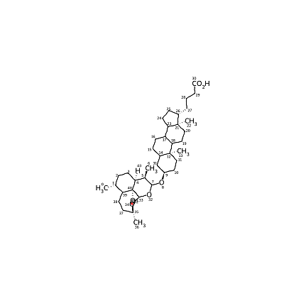 C[C@@H]1CC[C@H]2[C@@H](C)C(O[C@@H]3CC[C@@]4(C)C(CCC5C4CC[C@@]4(C)C5CC[C@@H]4CCCC(=O)O)C3)OC3O[C@]4(C)CCC1[C@]32OO4